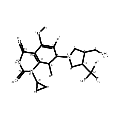 COC1=C(F)C(N2CC(CN)C(C(F)(F)F)C2)C(C)c2c1c(=O)[nH]c(=O)n2C1CC1